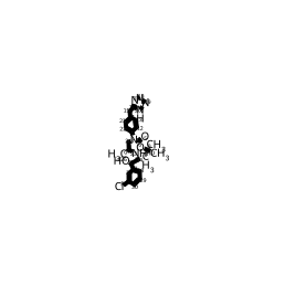 CC(CN(C(=O)OC(C)(C)C)c1ccc(Cc2nnn[nH]2)cc1)NCC(O)c1cccc(Cl)c1